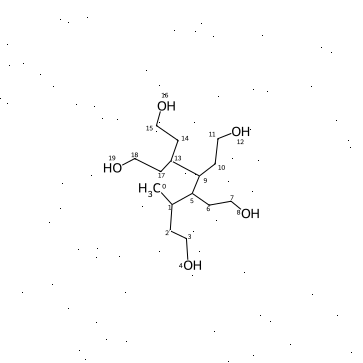 CC(CCO)C(CCO)C(CCO)C(CCO)CCO